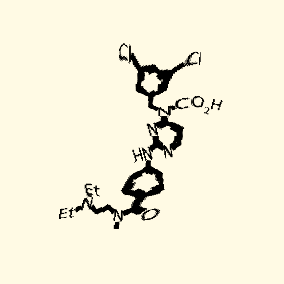 CCN(CC)CCN(C)C(=O)c1ccc(Nc2nccc(N(Cc3cc(Cl)cc(Cl)c3)C(=O)O)n2)cc1